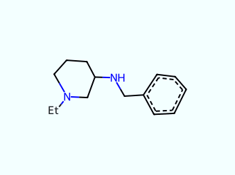 CCN1CCCC(NCc2ccccc2)C1